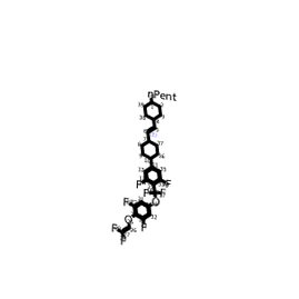 CCCCCC1CCC(/C=C/C2CCC(c3cc(F)c(C(F)(F)Oc4cc(F)c(OC=C(F)F)c(F)c4)c(F)c3)CC2)CC1